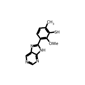 COc1c(-c2nc3cncnc3[nH]2)ccc(C)c1S